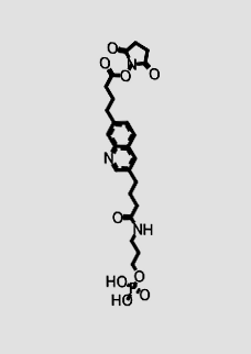 O=C(CCCc1cnc2cc(CCCC(=O)ON3C(=O)CCC3=O)ccc2c1)NCCCOP(=O)(O)O